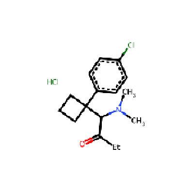 CCC(=O)C(N(C)C)C1(c2ccc(Cl)cc2)CCC1.Cl